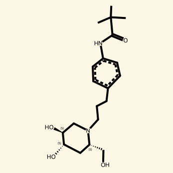 CC(C)(C)C(=O)Nc1ccc(CCCN2C[C@H](O)[C@@H](O)C[C@H]2CO)cc1